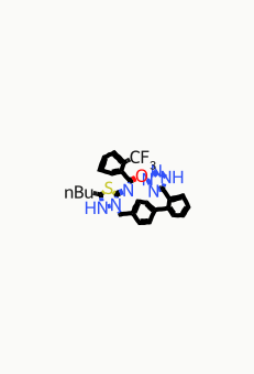 CCCCC1NN(Cc2ccc(-c3ccccc3-c3nnn[nH]3)cc2)C(=NC(=O)c2ccccc2C(F)(F)F)S1